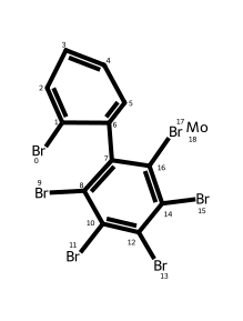 Brc1ccccc1-c1c(Br)c(Br)c(Br)c(Br)c1Br.[Mo]